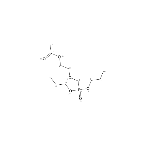 CCCOP(=O)(COCCOC(C)=O)OCCC